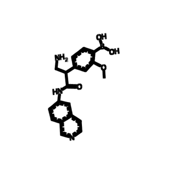 COc1cc(C(CN)C(=O)Nc2ccc3cnccc3c2)ccc1B(O)O